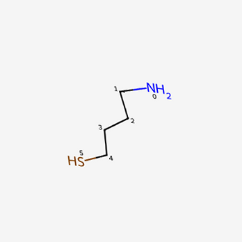 N[CH]CCCS